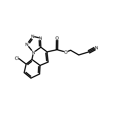 N#CCCOC(=O)c1cc2cccc(Cl)c2n2nnnc12